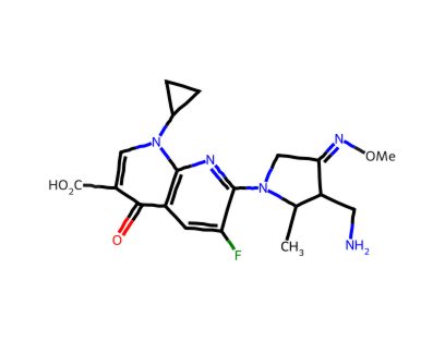 CON=C1CN(c2nc3c(cc2F)c(=O)c(C(=O)O)cn3C2CC2)C(C)C1CN